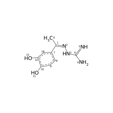 C/C(=N/NC(=N)N)c1ccc(O)c(O)c1